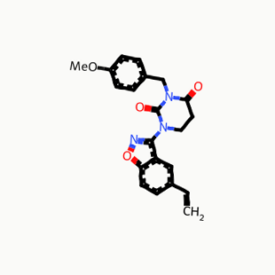 C=Cc1ccc2onc(N3CCC(=O)N(Cc4ccc(OC)cc4)C3=O)c2c1